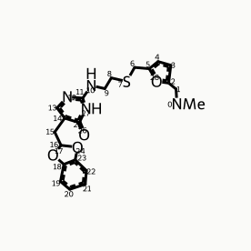 CNCc1ccc(CSCCNc2ncc(CC3Oc4ccccc4O3)c(=O)[nH]2)o1